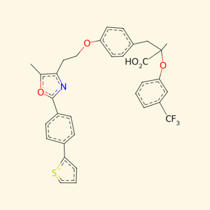 Cc1oc(-c2ccc(-c3cccs3)cc2)nc1CCOc1ccc(CC(C)(Oc2cccc(C(F)(F)F)c2)C(=O)O)cc1